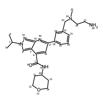 CC(C)n1cc2c(C(=O)NC3CCOCC3)cc(-c3cccc(CN(C)CCN)c3)nc2n1